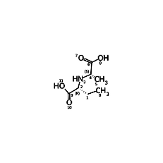 CC[C@@H](N[C@@H](C)C(=O)O)C(=O)O